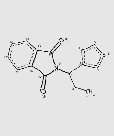 [CH2]CC(c1ccsc1)N1C(=O)c2ccccc2C1=O